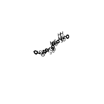 COc1cc2c(Oc3ccc(NC(=S)NC(=O)Cc4ccccc4)cc3F)ncnc2cc1OCC1CC2CN(C(=O)OCc3ccccc3)CC2C1